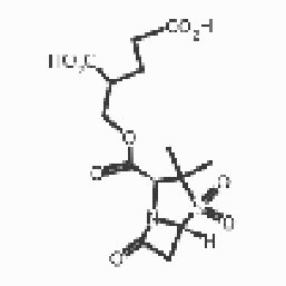 CC1(C)[C@H](C(=O)OCC(CCC(=O)O)C(=O)O)N2C(=O)C[C@H]2S1(=O)=O